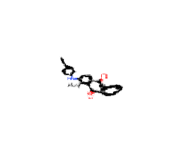 CNc1c(Nc2ccc(C)cc2)ccc2c1C(=O)c1ccccc1C2=O